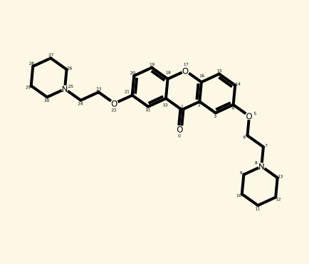 O=c1c2cc(OCCN3CCCCC3)ccc2oc2ccc(OCCN3CCCCC3)cc12